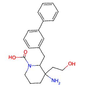 NC1(CCO)CCCN(C(=O)O)C1Cc1cccc(-c2ccccc2)c1